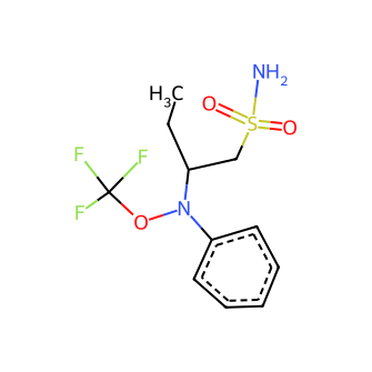 CCC(CS(N)(=O)=O)N(OC(F)(F)F)c1ccccc1